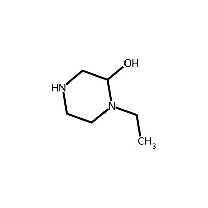 CCN1CCNCC1O